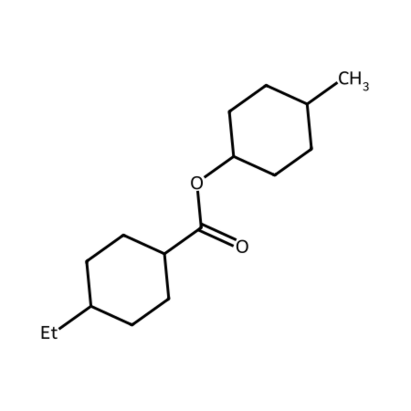 CCC1CCC(C(=O)OC2CCC(C)CC2)CC1